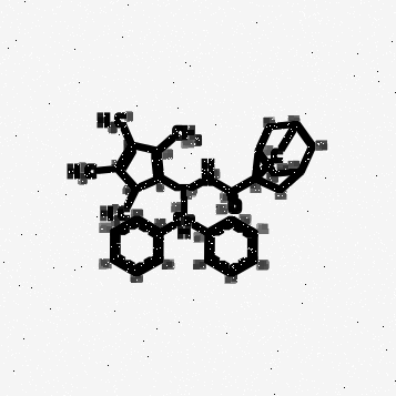 CC1=C(C)C(C)[C]([Ti]([NH]C(=O)C23CC4CC(CC2C4)C3)[GeH]([c]2ccccc2)[c]2ccccc2)=C1C